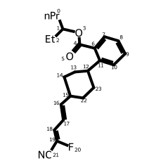 CCCC(CC)OC(=O)c1ccccc1C1CCC(/C=C/C=C(F)C#N)CC1